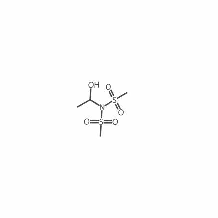 CC(O)N(S(C)(=O)=O)S(C)(=O)=O